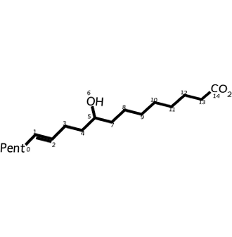 CCCCC/C=C/CCC(O)CCCCCCCC(=O)O